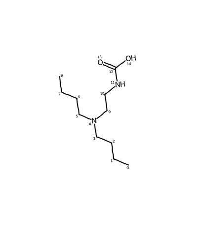 CCCCN(CCCC)CCNC(=O)O